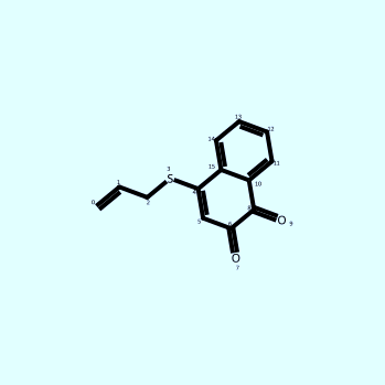 C=CCSC1=CC(=O)C(=O)c2ccccc21